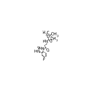 CC(C)(C)OC(=O)NCCC(=O)Nc1ccc(F)cc1NC1CC1